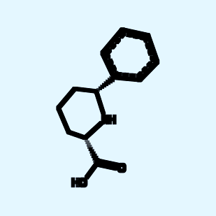 O=C(O)[C@@H]1CCC[C@H](c2ccccc2)N1